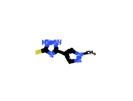 Cn1cc(-c2nc(=S)[nH][nH]2)cn1